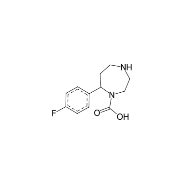 O=C(O)N1CCNCCC1c1ccc(F)cc1